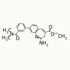 CCOC(=O)C1=Cc2ccc(-c3cccc(C(=O)N(C)C)c3)cc2N=C(N)C1